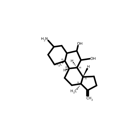 C=C1CC[C@H]2[C@@H]3C(O)C(O)C4CC(N)CC[C@]4(C)[C@@H]3CC[C@]12C